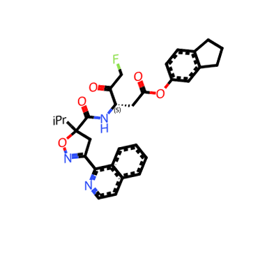 CC(C)C1(C(=O)N[C@@H](CC(=O)Oc2ccc3c(c2)CCC3)C(=O)CF)CC(c2nccc3ccccc23)=NO1